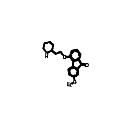 CCOc1ccc2c(c1)C(=O)c1cccc(OCCC3CCCCN3)c1-2